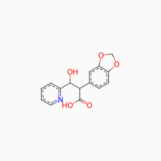 O=C(O)C(c1ccc2c(c1)OCO2)C(O)c1ccccn1